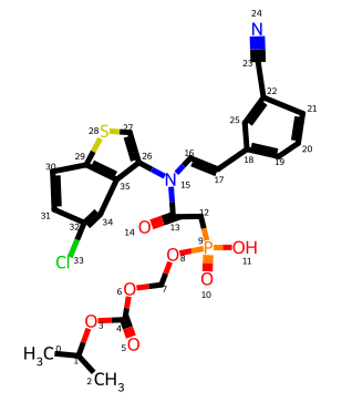 CC(C)OC(=O)OCOP(=O)(O)CC(=O)N(/C=C/c1cccc(C#N)c1)c1csc2ccc(Cl)cc12